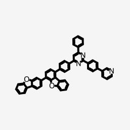 c1ccc(-c2cc(-c3ccc(-c4ccc(-c5ccc6c(c5)oc5ccccc56)c5oc6ccccc6c45)cc3)nc(-c3ccc(-c4cccnc4)cc3)n2)cc1